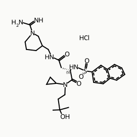 CC(C)(O)CCN(C(=O)[C@H](CC(=O)NCC1CCCN(C(=N)N)C1)NS(=O)(=O)c1ccc2ccccc2c1)C1CC1.Cl